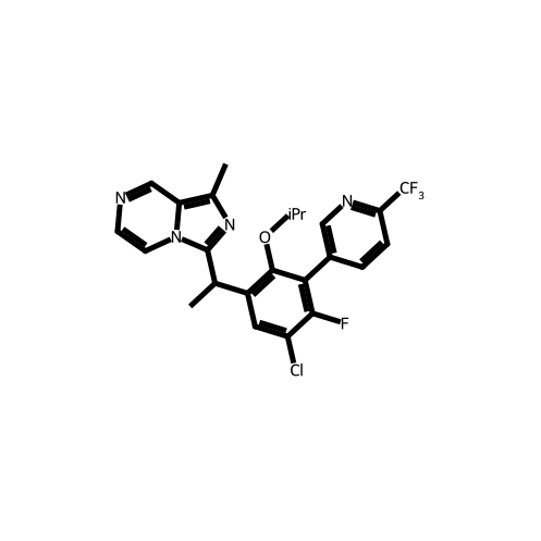 Cc1nc(C(C)c2cc(Cl)c(F)c(-c3ccc(C(F)(F)F)nc3)c2OC(C)C)n2ccncc12